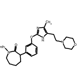 CCCN1CCCCC(c2cccc(Oc3nc(C)c(CCN4CCOCC4)[nH]3)c2)C1=O